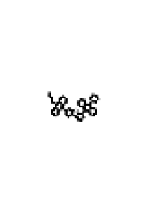 CCCCc1c2ccccc2c(-c2ccc3c(c2)sc2c(-c4c5ccccc5c(-c5ccccc5)c5ccccc45)cccc23)c2ccccc12